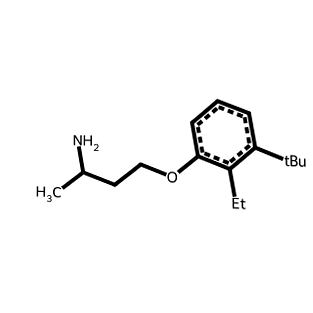 CCc1c(OCCC(C)N)cccc1C(C)(C)C